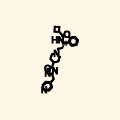 O=C(N[C@@H](CCN1CCC(c2nc(Cc3ccncc3)no2)CC1)c1ccccc1)C1CCC1